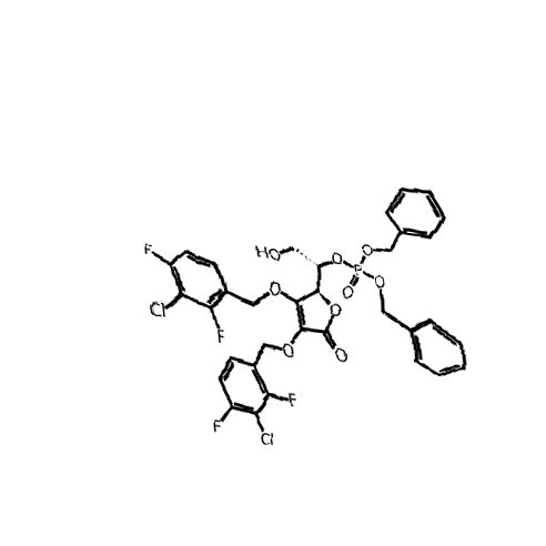 O=C1O[C@H]([C@H](CO)OP(=O)(OCc2ccccc2)OCc2ccccc2)C(OCc2ccc(F)c(Cl)c2F)=C1OCc1ccc(F)c(Cl)c1F